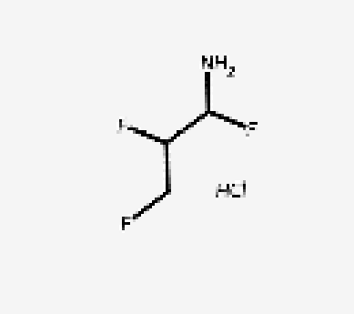 Cl.NC(F)C(F)CF